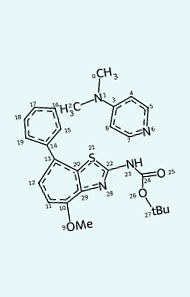 CN(C)c1ccncc1.COc1ccc(-c2ccccc2)c2sc(NC(=O)OC(C)(C)C)nc12